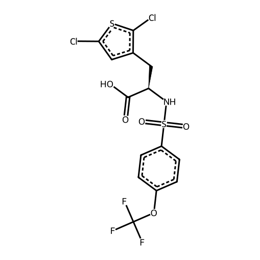 O=C(O)[C@@H](Cc1cc(Cl)sc1Cl)NS(=O)(=O)c1ccc(OC(F)(F)F)cc1